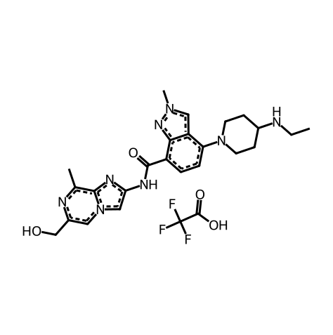 CCNC1CCN(c2ccc(C(=O)Nc3cn4cc(CO)nc(C)c4n3)c3nn(C)cc23)CC1.O=C(O)C(F)(F)F